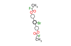 CC[C@H](F)C(=O)OC1CCC(c2ccc(C3CCC(OC(=O)[C@@H](F)CC)CC3)c(Br)c2)CC1